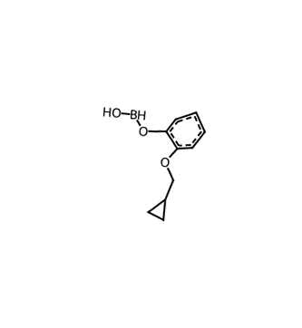 OBOc1ccccc1OCC1CC1